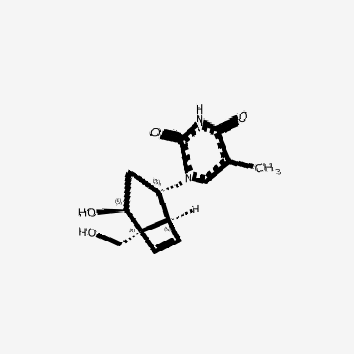 Cc1cn([C@H]2C[C@H](O)[C@]3(CO)C=C[C@H]23)c(=O)[nH]c1=O